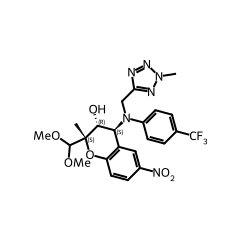 COC(OC)[C@@]1(C)Oc2ccc([N+](=O)[O-])cc2[C@H](N(Cc2nnn(C)n2)c2ccc(C(F)(F)F)cc2)[C@H]1O